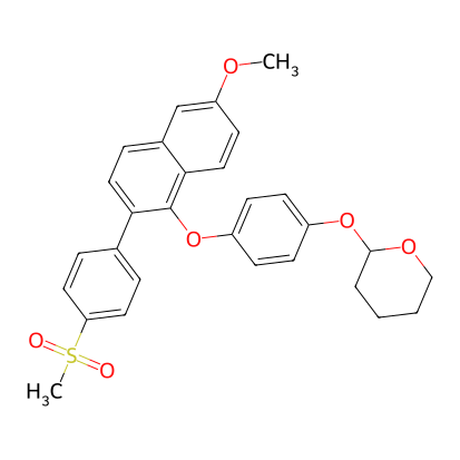 COc1ccc2c(Oc3ccc(OC4CCCCO4)cc3)c(-c3ccc(S(C)(=O)=O)cc3)ccc2c1